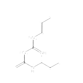 C=C(NCCC)NC(=N)NCCC